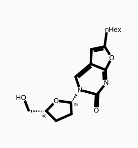 CCCCCCc1cc2cn([C@@H]3CC[C@H](CO)O3)c(=O)nc2o1